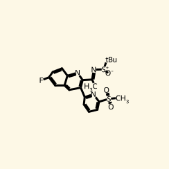 CC(=N[S+]([O-])C(C)(C)C)c1nc2ccc(F)cc2cc1-c1cccc(S(C)(=O)=O)n1